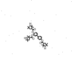 CC1(C)CC(C(=O)Oc2ccc(-c3ccc(OC(=O)C4CC(C)(C)NC4(C)C)c(OC(=O)C4CC(C)(C)NC4(C)C)c3)cc2)C(C)(C)N1